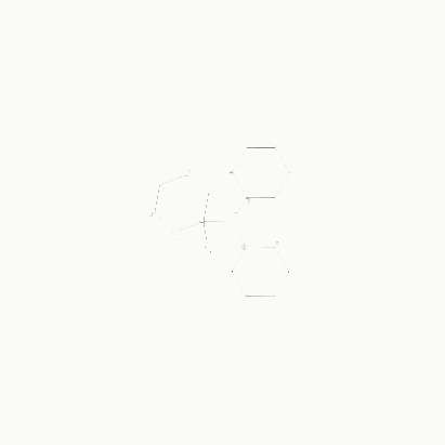 NC1([SiH](C2CCCCC2)C2CCCCC2)CCCCO1